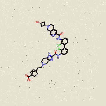 Cn1c(C(=O)Nc2cccc(-c3cccc(NC(=O)c4cc5c(cn4)CN([C@H]4C[C@@H](O)C4)CC5)c3Cl)c2Cl)nc2c1CCN(CCC13CCC(C(=O)O)(CC1)C3)C2